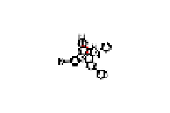 N#Cc1ccc2c(c1)c1cc(C#N)ccc1n2-c1ccc(-c2cccnc2)cc1-c1nc(-c2ccccc2)nc(-c2ccccc2)n1